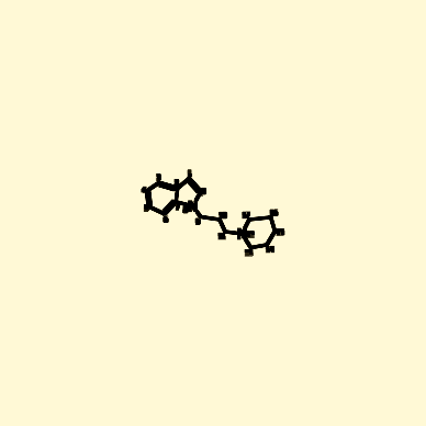 [c]1cc2ccccc2n1CCCN1CCCCC1